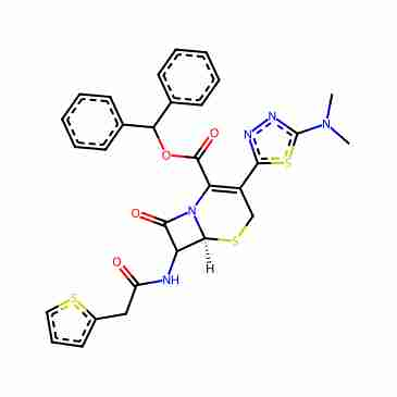 CN(C)c1nnc(C2=C(C(=O)OC(c3ccccc3)c3ccccc3)N3C(=O)C(NC(=O)Cc4cccs4)[C@@H]3SC2)s1